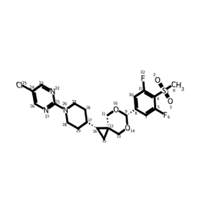 CS(=O)(=O)c1c(F)cc([C@H]2OC[C@]3(CO2)C[C@@H]3C2CCN(c3ncc(Cl)cn3)CC2)cc1F